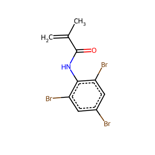 C=C(C)C(=O)Nc1c(Br)cc(Br)cc1Br